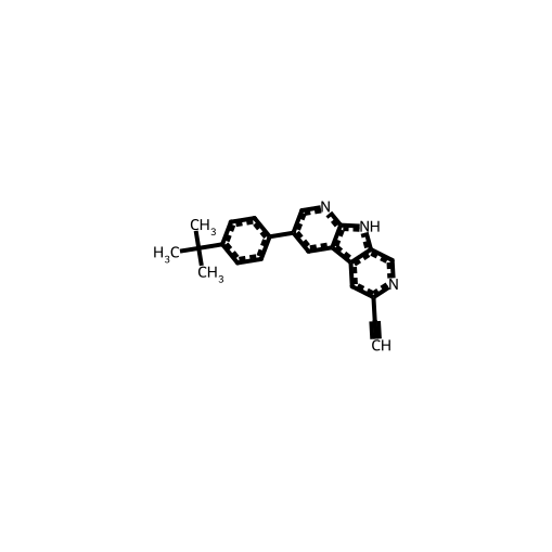 C#Cc1cc2c(cn1)[nH]c1ncc(-c3ccc(C(C)(C)C)cc3)cc12